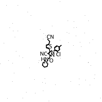 Cc1ccc(-n2nc(C(=O)NN3CCCCC3)c(C#N)c2-c2ccc(CCC#N)s2)c(Cl)c1